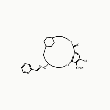 COc1c(O)cc2cc1OCCCC(O/N=C/c1ccccc1)CCN1CCC(CCCOC2=O)CC1